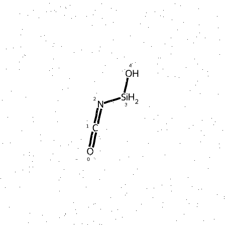 O=C=N[SiH2]O